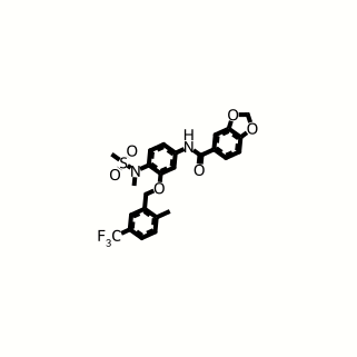 Cc1ccc(C(F)(F)F)cc1COc1cc(NC(=O)c2ccc3c(c2)OCO3)ccc1N(C)S(C)(=O)=O